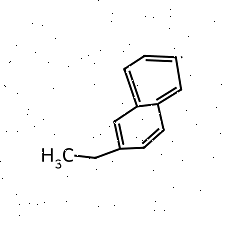 CCc1ccc2c[c]ccc2c1